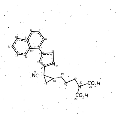 N#C[C@@]1(c2cn(-c3cccc4ccccc34)cn2)C[C@H]1CCCN(C(=O)O)C(=O)O